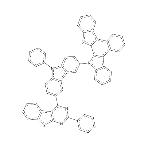 c1ccc(-c2nc(-c3ccc4c(c3)c3cc(-n5c6ccccc6c6c7ccccc7c7c8ccccc8sc7c65)ccc3n4-c3ccccc3)c3c(n2)sc2ccccc23)cc1